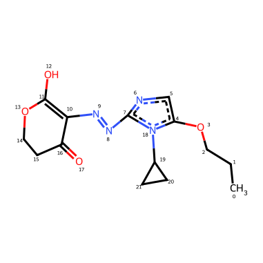 CCCOc1cnc(N=NC2=C(O)OCCC2=O)n1C1CC1